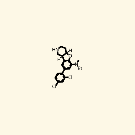 CCN(C)c1cc(-c2ccc(Cl)cc2Cl)cc2c1O[C@H]1CCNC[C@@H]21